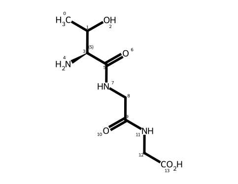 CC(O)[C@H](N)C(=O)NCC(=O)NCC(=O)O